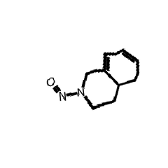 O=NN1CCC2CC=CC=C2C1